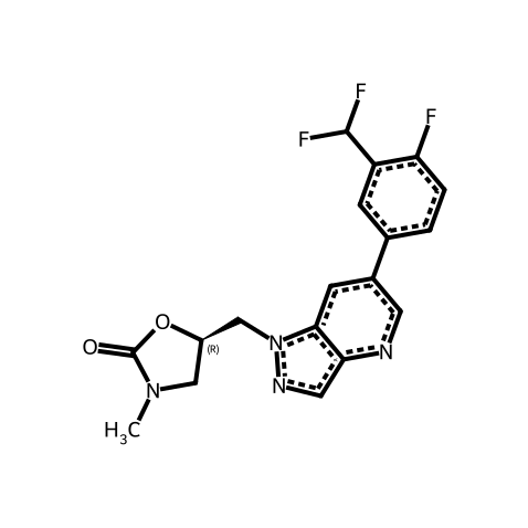 CN1C[C@H](Cn2ncc3ncc(-c4ccc(F)c(C(F)F)c4)cc32)OC1=O